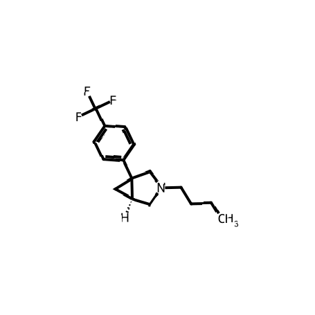 CCCCN1C[C@H]2CC2(c2ccc(C(F)(F)F)cc2)C1